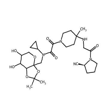 CC1(NCC(=O)N2CCC[C@H]2C#N)CCN(C(=O)C(=O)N(CC23OCC(O)C(O)C2OC(C)(C)O3)C2CC2)CC1